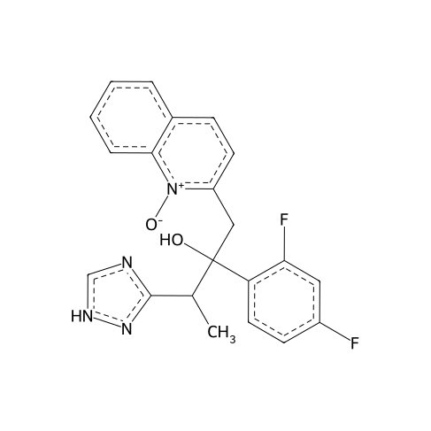 CC(c1nc[nH]n1)C(O)(Cc1ccc2ccccc2[n+]1[O-])c1ccc(F)cc1F